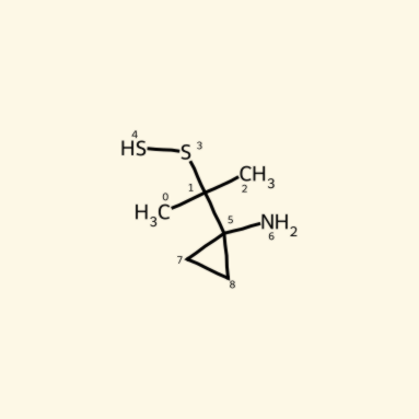 CC(C)(SS)C1(N)CC1